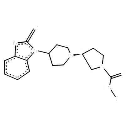 CCNC(=O)N1CC[C@H](N2CCC(n3c(=O)[nH]c4ccccc43)CC2)C1